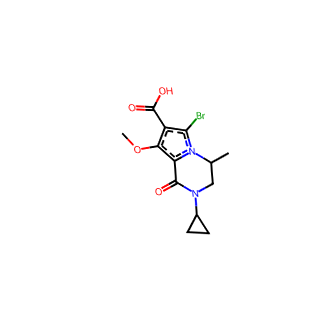 COc1c(C(=O)O)c(Br)n2c1C(=O)N(C1CC1)CC2C